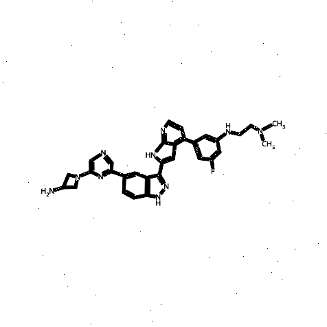 CN(C)CCNc1cc(F)cc(-c2ccnc3[nH]c(-c4n[nH]c5ccc(-c6cncc(N7CC(N)C7)n6)cc45)cc23)c1